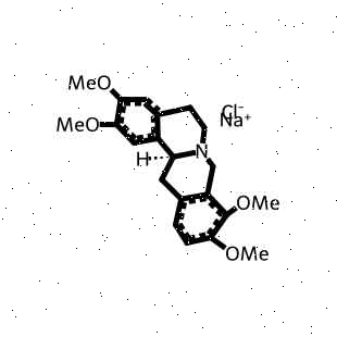 COc1cc2c(cc1OC)[C@@H]1Cc3ccc(OC)c(OC)c3CN1CC2.[Cl-].[Na+]